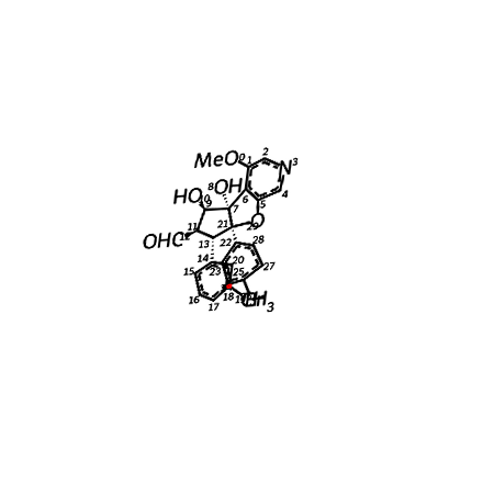 COc1cncc2c1[C@]1(O)[C@H](O)[C@H](C=O)[C@@H](c3cccc(C)c3)[C@]1(c1ccc(Br)cc1)O2